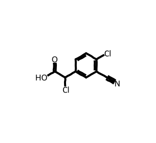 N#Cc1cc(C(Cl)C(=O)O)ccc1Cl